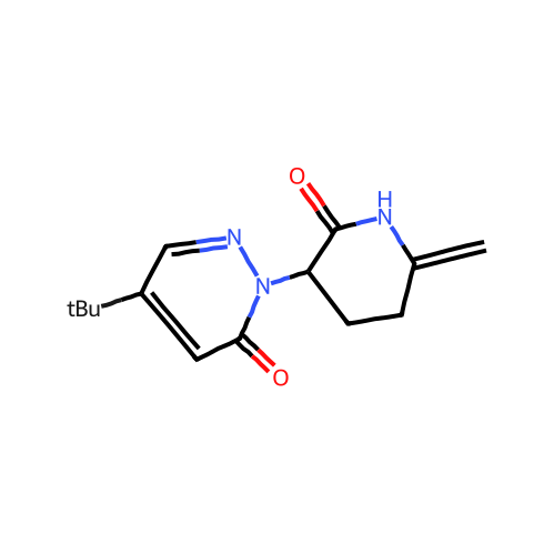 C=C1CCC(n2ncc(C(C)(C)C)cc2=O)C(=O)N1